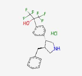 Cl.OC(c1ccc([C@@H]2CNC[C@H]2Cc2ccccc2)cc1)(C(F)(F)F)C(F)(F)F